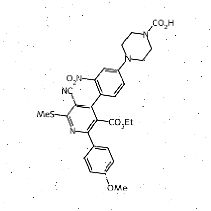 CCOC(=O)c1c(-c2ccc(OC)cc2)nc(SC)c(C#N)c1-c1ccc(N2CCN(C(=O)O)CC2)cc1[N+](=O)[O-]